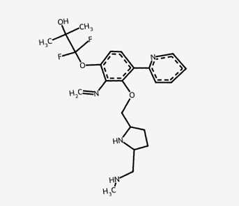 C=Nc1c(OC(F)(F)C(C)(C)O)ccc(-c2ccccn2)c1OCC1CCC(CNC)N1